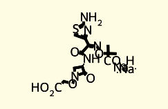 CC(C)(ON=C(C(=O)N[C@H]1CN(OCC(=O)O)C1=O)c1csc(N)n1)C(=O)O.[Na].[Na]